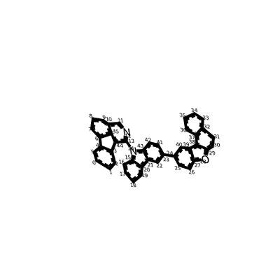 c1ccc2c(c1)-c1cccc3cnc(-n4c5ccccc5c5cc(-c6ccc7oc8ccc9ccccc9c8c7c6)ccc54)c-2c13